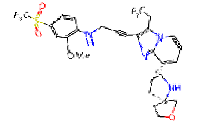 COc1cc(S(C)(=O)=O)ccc1NCC#Cc1nc2c([C@H]3CC[C@]4(CCOC4)N3)cccn2c1CC(F)(F)F